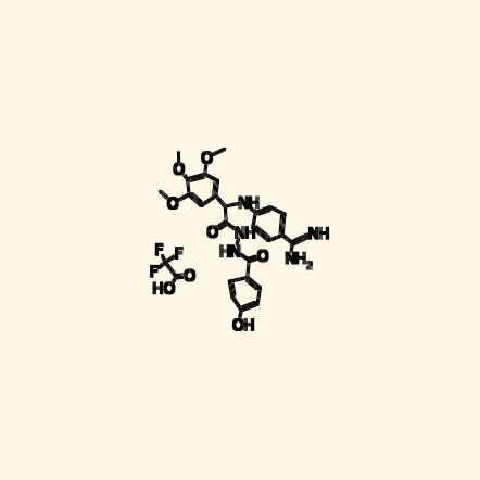 COc1cc(C(Nc2ccc(C(=N)N)cc2)C(=O)NNC(=O)c2ccc(O)cc2)cc(OC)c1OC.O=C(O)C(F)(F)F